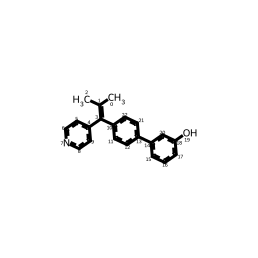 CC(C)=C(c1ccncc1)c1ccc(-c2cccc(O)c2)cc1